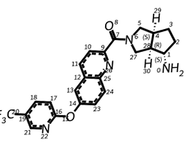 N[C@H]1CC[C@@H]2CN(C(=O)c3ccc4cc(Oc5ccc(C(F)(F)F)cn5)ccc4n3)C[C@@H]21